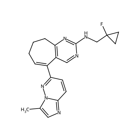 Cc1cnc2ccc(C3=CCCCc4nc(NCC5(F)CC5)ncc43)nn12